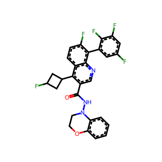 O=C(NN1CCOc2ccccc21)c1cnc2c(-c3cc(F)cc(F)c3F)c(F)ccc2c1C1CC(F)C1